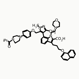 Cc1nn(C)c(COc2ccc(N3CCN(C(=O)C(C)C)CC3)cc2)c1-c1cccc2c(CCCOc3cccc4ccccc34)c(C(=O)O)n(CCN3CCOCC3)c12